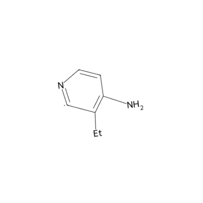 CCc1[c]nccc1N